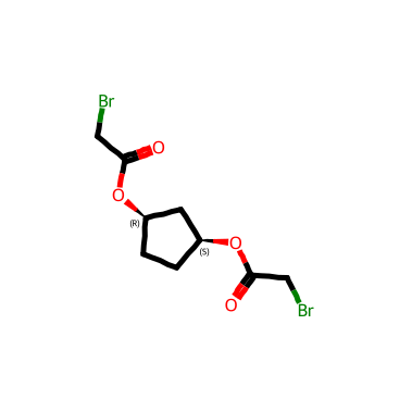 O=C(CBr)O[C@@H]1CC[C@H](OC(=O)CBr)C1